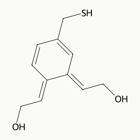 OCC=c1ccc(CS)cc1=CCO